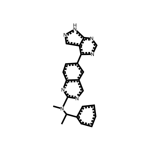 CC(c1ccccc1)N(C)c1ncc2cc(-c3ncnc4[nH]ncc34)ccc2n1